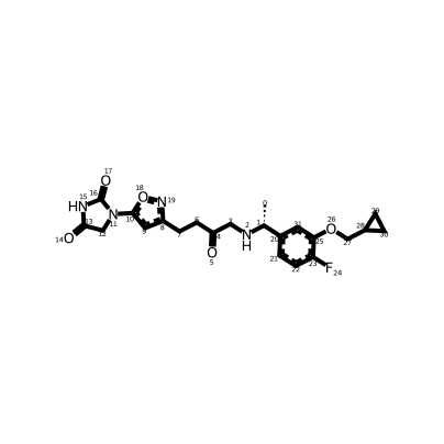 C[C@@H](NCC(=O)CCc1cc(N2CC(=O)NC2=O)on1)c1ccc(F)c(OCC2CC2)c1